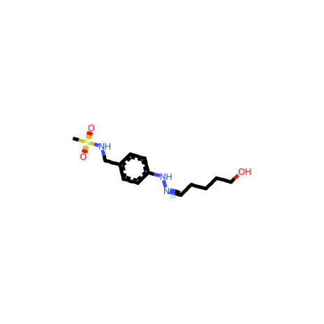 CS(=O)(=O)NCc1ccc(N/N=C\CCCCO)cc1